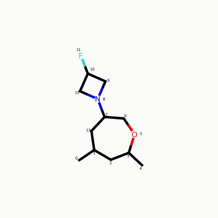 CC1CC(C)OCC(N2CC(F)C2)C1